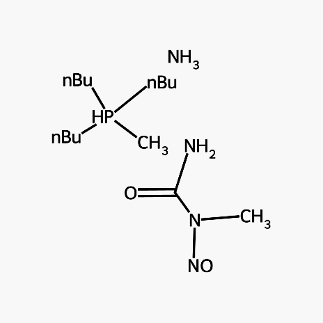 CCCC[PH](C)(CCCC)CCCC.CN(N=O)C(N)=O.N